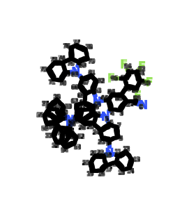 N#Cc1cc(-n2c3ccc(-n4c5ccccc5c5ccccc54)cc3c3cc(-n4c5ccccc5c5ccccc54)ccc32)c(-n2c3ccc(-n4c5ccccc5c5ccccc54)cc3c3cc(-n4c5ccccc5c5ccccc54)ccc32)cc1-c1c(F)c(F)c(F)c(F)c1F